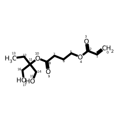 C=CC(=O)OCCCC(=O)OC(CC)(CO)CO